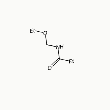 CCOCNC(=O)CC